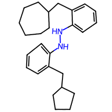 c1ccc(NNc2ccccc2CC2CCCC2)c(CC2CCCCCC2)c1